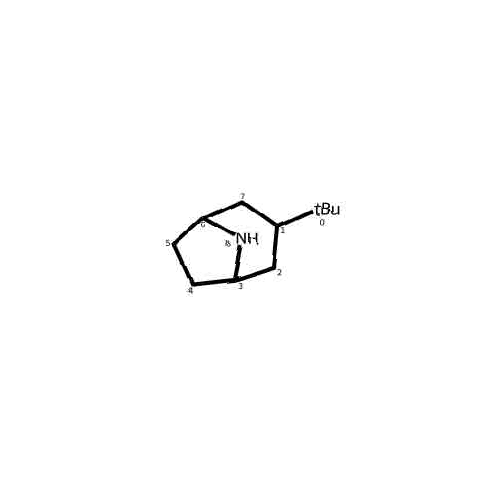 CC(C)(C)C1CC2CCC(C1)N2